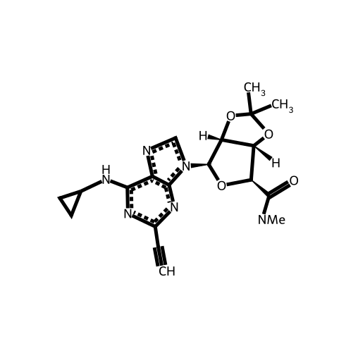 C#Cc1nc(NC2CC2)c2ncn([C@@H]3O[C@H](C(=O)NC)[C@H]4OC(C)(C)O[C@H]43)c2n1